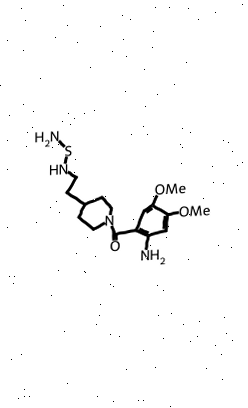 COc1cc(N)c(C(=O)N2CCC(CCNSN)CC2)cc1OC